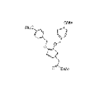 [CH2]OC(=O)Cc1ccc(OCc2ccc(OC)cc2)c(OCc2ccc(OC)cc2)c1